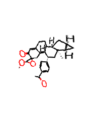 COC1OC12CC1=C3[C@@H](CCC1=CC2=O)[C@@H]1C[C@H]2C[C@H]2[C@@]1(C)C[C@@H]3c1ccc(C(C)=O)cc1